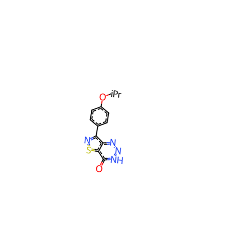 CC(C)Oc1ccc(-c2nsc3c(=O)[nH]nnc23)cc1